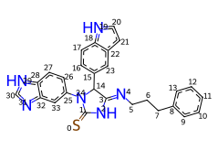 S=C1NC(=NCCCc2ccccc2)C(c2ccc3[nH]ccc3c2)N1c1ccc2[nH]cnc2c1